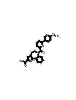 COc1ccc(-c2cccc(C(=O)N3CCc4cc(C(=O)O)sc4-c4ccccc43)n2)cn1